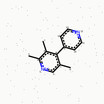 Cc1cnc(C)c(C)c1-c1ccncc1